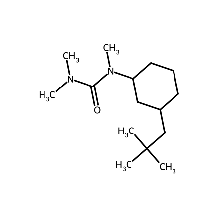 CN(C)C(=O)N(C)C1CCCC(CC(C)(C)C)C1